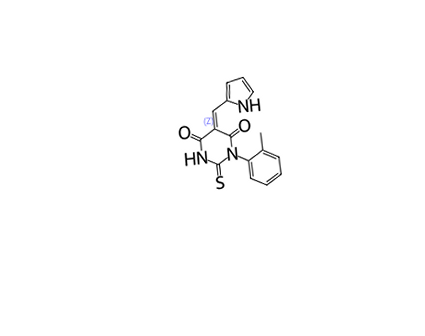 Cc1ccccc1N1C(=O)/C(=C\c2ccc[nH]2)C(=O)NC1=S